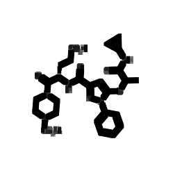 CCOC(=O)N1CCN(C(=O)[C@H](CCC(=O)O)NC(=O)c2cc(OC(C)C(=O)NC3CC3)n(-c3ccccc3)n2)CC1